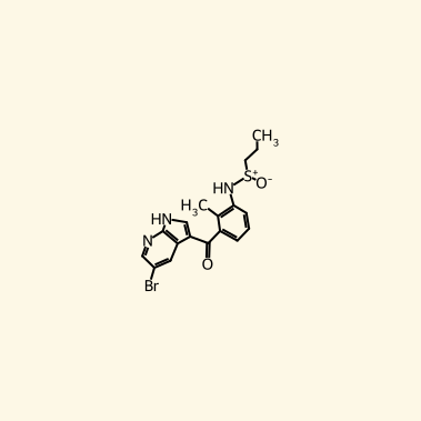 CCC[S+]([O-])Nc1cccc(C(=O)c2c[nH]c3ncc(Br)cc23)c1C